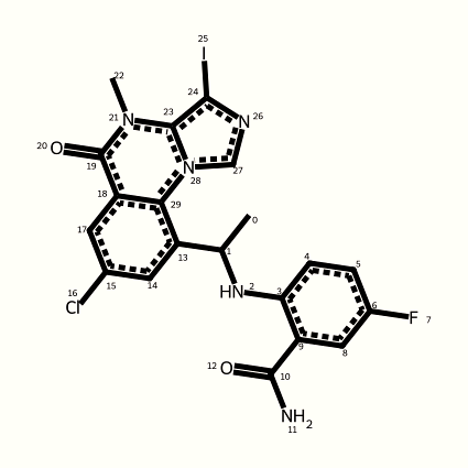 CC(Nc1ccc(F)cc1C(N)=O)c1cc(Cl)cc2c(=O)n(C)c3c(I)ncn3c12